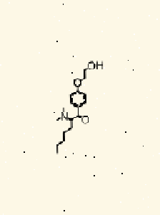 CCC=CCC(C(=O)c1ccc(OCCO)cc1)N(C)C